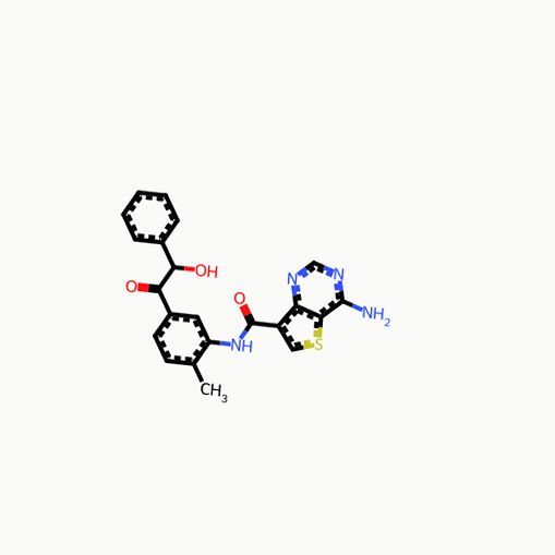 Cc1ccc(C(=O)C(O)c2ccccc2)cc1NC(=O)c1csc2c(N)ncnc12